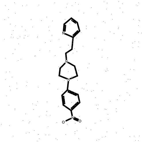 O=[N+]([O-])c1ccc(N2CCN(CCc3ccccn3)CC2)cc1